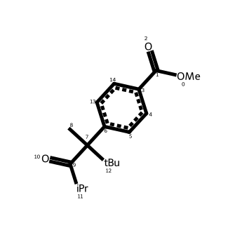 COC(=O)c1ccc(C(C)(C(=O)C(C)C)C(C)(C)C)cc1